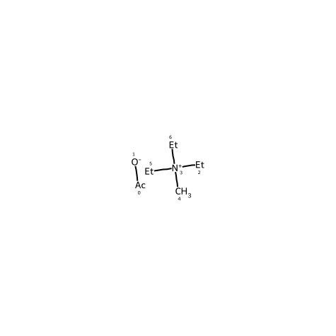 CC(=O)[O-].CC[N+](C)(CC)CC